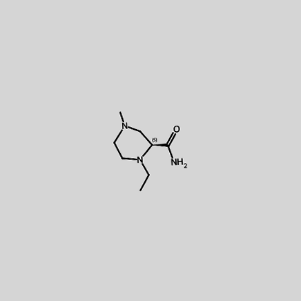 CCN1CCN(C)C[C@H]1C(N)=O